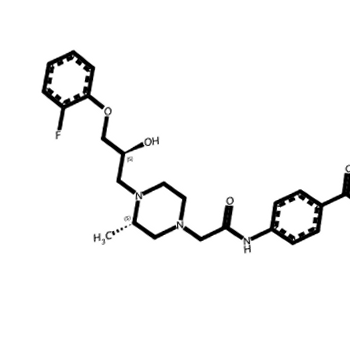 CC(=O)c1ccc(NC(=O)CN2CCN(C[C@H](O)COc3ccccc3F)[C@@H](C)C2)cc1